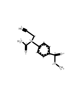 C#CCN(C(C)=O)c1ccc(C(=O)OC)cc1